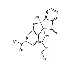 CONC(=O)N[C@@]12C(=O)c3ccccc3[C@]1(O)Oc1cc(C(C)C)ccc12